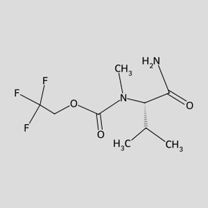 CC(C)[C@@H](C(N)=O)N(C)C(=O)OCC(F)(F)F